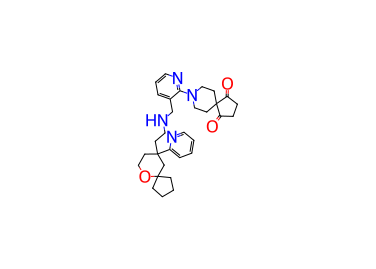 O=C1CCC(=O)C12CCN(c1ncccc1CNCCC1(c3ccccn3)CCOC3(CCCC3)C1)CC2